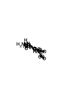 Nc1nc(=O)c2nc(CNc3ccc(C(=O)N[C@@H](CCC(=O)OC=O)C(=O)OC=O)cc3)cnc2[nH]1